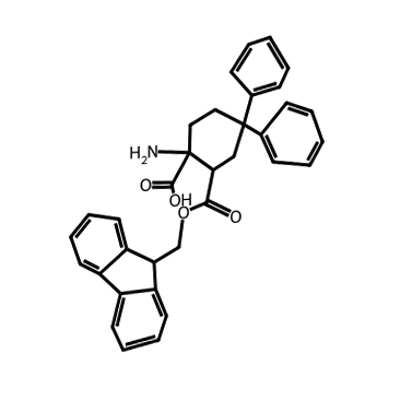 NC1(C(=O)O)CCC(c2ccccc2)(c2ccccc2)CC1C(=O)OCC1c2ccccc2-c2ccccc21